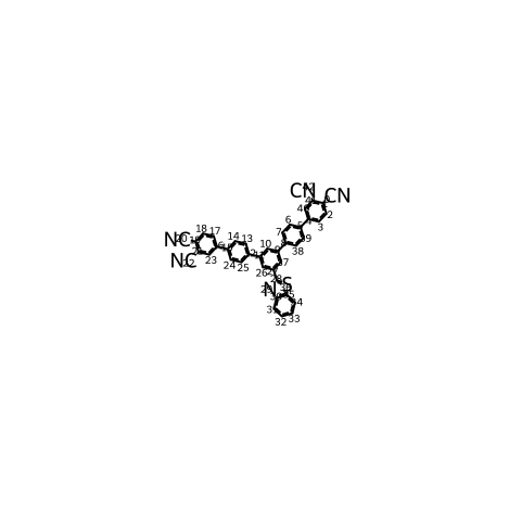 N#Cc1ccc(-c2ccc(-c3cc(-c4ccc(-c5ccc(C#N)c(C#N)c5)cc4)cc(-c4nc5ccccc5s4)c3)cc2)cc1C#N